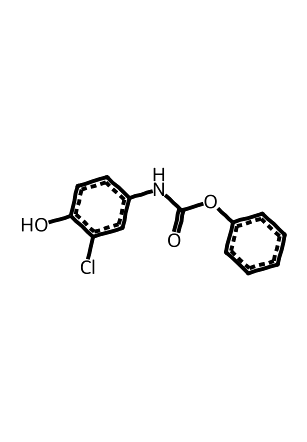 O=C(Nc1ccc(O)c(Cl)c1)Oc1ccccc1